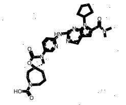 CN(C)C(=O)c1cc2cnc(Nc3ccc(N4C[C@@]5(CCCN(C(=O)O)CC5)OC4=O)cn3)nc2n1C1CCCC1